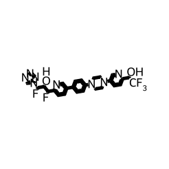 OC(C(F)c1ccc(-c2ccc(N3CCN(c4ccc(C(O)C(F)(F)F)nc4)CC3)cc2)cn1)C(F)n1cnnn1